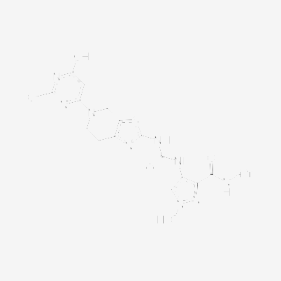 Cc1cc(N2CCc3nc(NC(=O)Nc4cn(C)nc4C(=O)NC(C)C)sc3C2)nc(Cl)n1